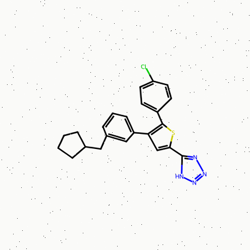 Clc1ccc(-c2sc(-c3nnn[nH]3)cc2-c2cccc(CC3CCCC3)c2)cc1